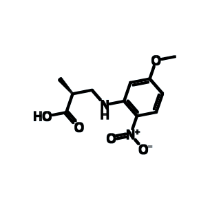 COc1ccc([N+](=O)[O-])c(NC[C@H](C)C(=O)O)c1